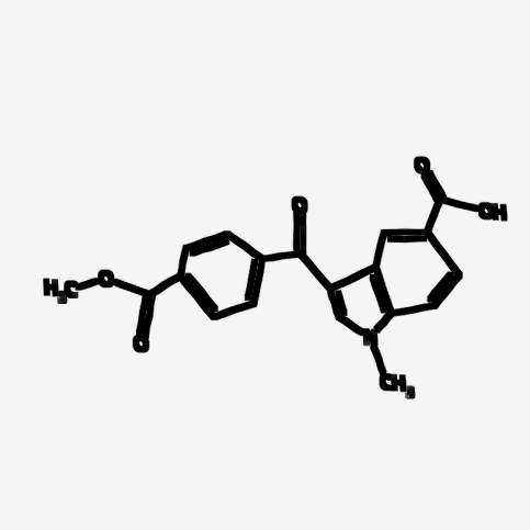 COC(=O)c1ccc(C(=O)c2cn(C)c3ccc(C(=O)O)cc23)cc1